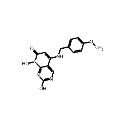 COc1ccc(CNc2cc(=O)n(O)c3nc(O)ncc23)cc1